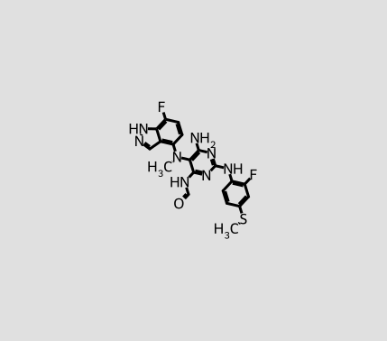 CSc1ccc(Nc2nc(N)c(N(C)c3ccc(F)c4[nH]ncc34)c(NC=O)n2)c(F)c1